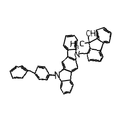 CC1(C)c2ccccc2-c2cccc(-n3c4ccccc4c4cc5c(cc43)c3ccccc3n5-c3ccc(-c4ccccc4)cc3)c21